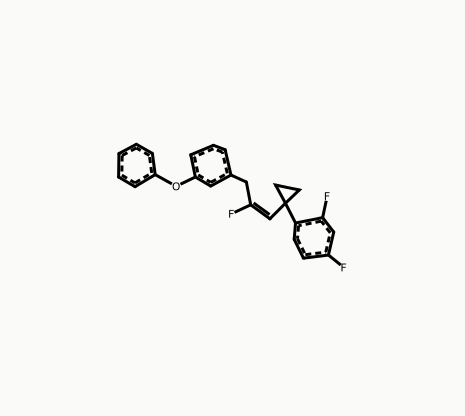 F/C(=C/C1(c2ccc(F)cc2F)CC1)Cc1cccc(Oc2ccccc2)c1